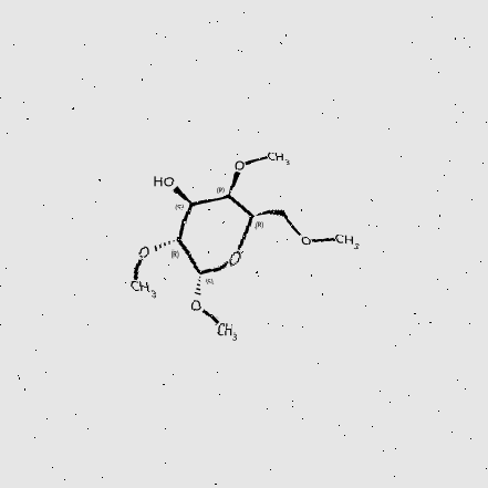 COC[C@H]1O[C@H](OC)[C@H](OC)[C@@H](O)[C@H]1OC